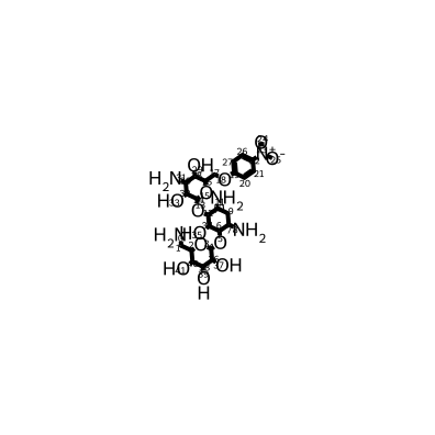 NCC1OC(OC2C(N)C[C@H](N)C(OC3OC(COc4ccc([N+](=O)[O-])cc4)C(O)C(N)C3O)C2O)C(O)C(O)C1O